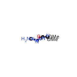 COc1cc(-c2ccc3c(n2)CN(c2cnn(CCN4CCC(N)CC4)c2)C3=O)cnc1OC